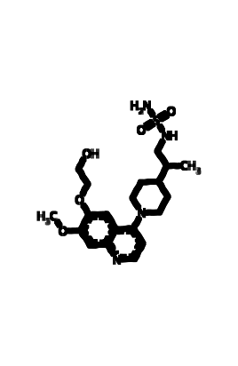 COc1cc2nccc(N3CCC(C(C)CNS(N)(=O)=O)CC3)c2cc1OCCO